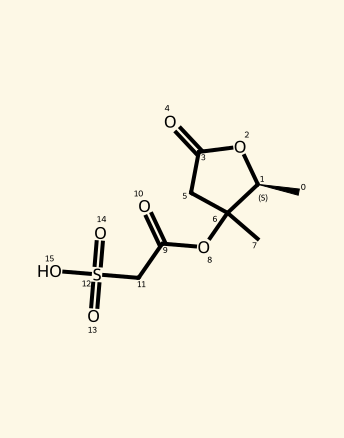 C[C@@H]1OC(=O)CC1(C)OC(=O)CS(=O)(=O)O